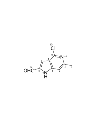 Cc1cc2[nH]c(C=O)cc2c(Cl)n1